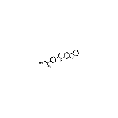 C/C(=C\C(C)(C)C)c1ccc(C(=O)Nc2ccc3c(c2)Cc2ccccc2-3)cc1